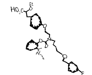 CCOC(Cc1ccc(OCCN(CCCCOCc2ccc(F)cc2)C(=O)Oc2ccccc2C)cc1)C(=O)O